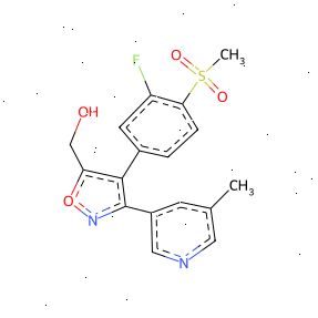 Cc1cncc(-c2noc(CO)c2-c2ccc(S(C)(=O)=O)c(F)c2)c1